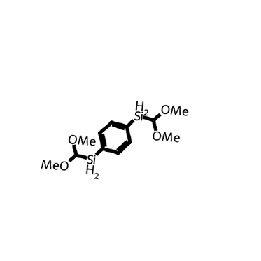 COC(OC)[SiH2]c1ccc([SiH2]C(OC)OC)cc1